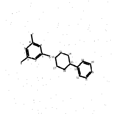 Cc1cc(C)cc(C)c1.c1ccc(C2CCCCC2)cc1